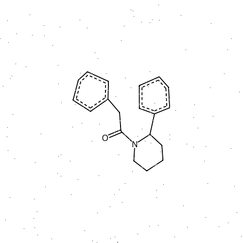 O=C(Cc1ccccc1)N1CCCCC1c1ccccc1